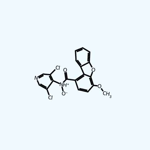 COc1ccc(C(=O)[NH+]([O-])c2c(Cl)cncc2Cl)c2c1oc1ccccc12